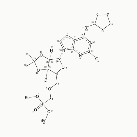 CCOP(=O)(COCC1O[C@@H](n2ccc3c(NC4CCCC4)nc(Cl)nc32)[C@@H]2OC(C)(C)O[C@H]12)OC(C)C